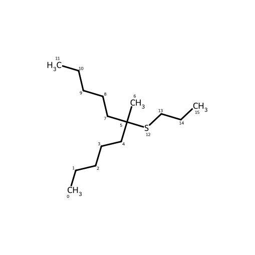 CCCCCC(C)(CCCCC)SCCC